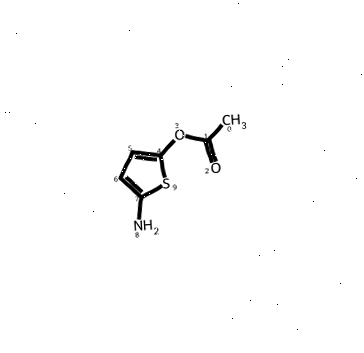 CC(=O)Oc1ccc(N)s1